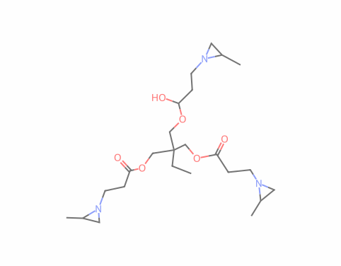 CCC(COC(=O)CCN1CC1C)(COC(=O)CCN1CC1C)COC(O)CCN1CC1C